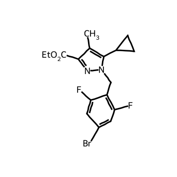 CCOC(=O)c1nn(Cc2c(F)cc(Br)cc2F)c(C2CC2)c1C